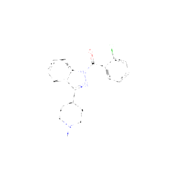 CN1CCC(c2nn(C(=O)c3ccccc3Cl)c3ccccc23)CC1